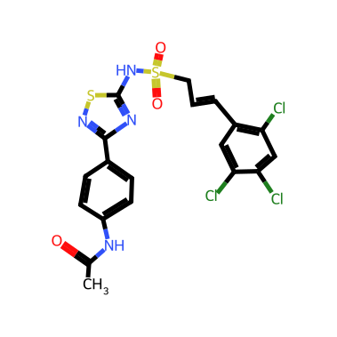 CC(=O)Nc1ccc(-c2nsc(NS(=O)(=O)CC=Cc3cc(Cl)c(Cl)cc3Cl)n2)cc1